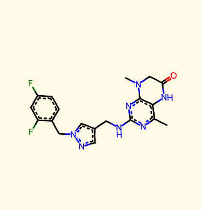 Cc1nc(NCc2cnn(Cc3ccc(F)cc3F)c2)nc2c1NC(=O)CN2C